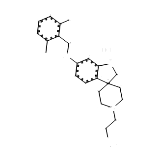 Cc1cccc(Cl)c1COc1ccc2c(c1)OCC21CCN(CCC(=O)O)CC1.Cl